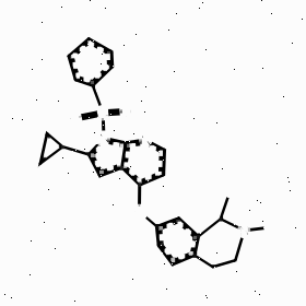 CC1c2cc(Oc3ccnc4c3cc(C3CC3)n4S(=O)(=O)c3ccccc3)ccc2CCN1C